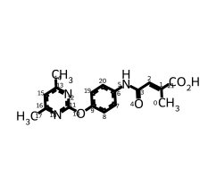 CC(=CC(=O)Nc1ccc(Oc2nc(C)cc(C)n2)cc1)C(=O)O